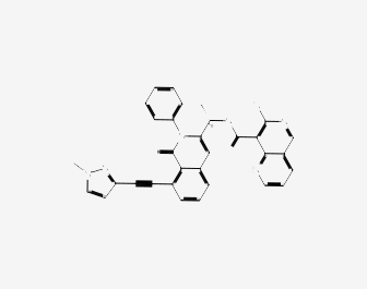 C[C@@H](NC(=O)c1c(N)ncc2cccnc12)c1cc2cccc(C#Cc3ccn(C)n3)c2c(=O)n1-c1ccccc1